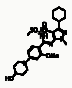 COc1cc(N2CCC(O)CC2)ccc1-c1nc2c(c(C3CCCCC3)nn2C)c(=O)[nH]1.CS(=O)(=O)O